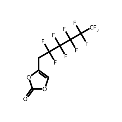 O=c1occ(CC(F)(F)C(F)(F)C(F)(F)C(F)(F)C(F)(F)F)o1